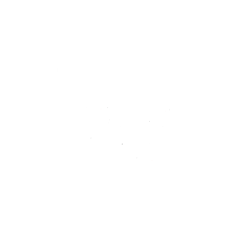 CCCCOC(=O)C1COS(=O)(=O)CS(=O)(=O)O1